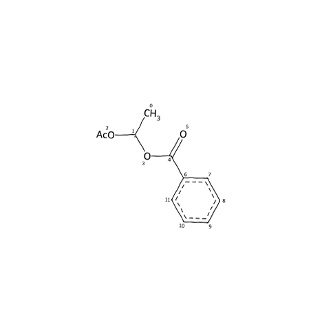 C[C](OC(C)=O)OC(=O)c1ccccc1